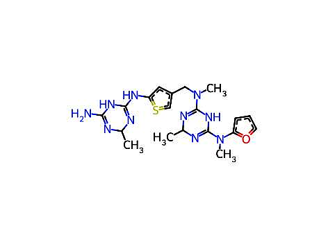 CC1N=C(N)NC(Nc2cc(CN(C)C3=NC(C)N=C(N(C)c4ccco4)N3)cs2)=N1